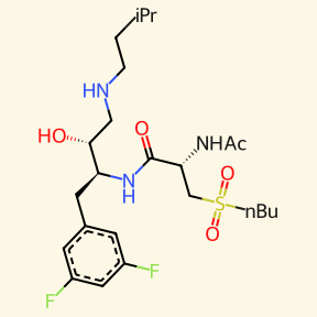 CCCCS(=O)(=O)C[C@@H](NC(C)=O)C(=O)N[C@@H](Cc1cc(F)cc(F)c1)[C@H](O)CNCCC(C)C